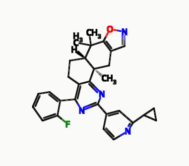 CC1(C)c2oncc2C[C@@]2(C)c3nc(-c4ccnc(C5CC5)c4)nc(-c4ccccc4F)c3CC[C@H]12